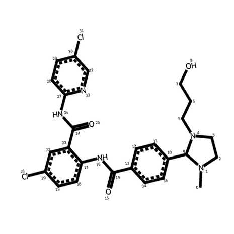 CN1CCN(CCCO)C1c1ccc(C(=O)Nc2ccc(Cl)cc2C(=O)Nc2ccc(Cl)cn2)cc1